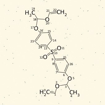 C=COC(C)Oc1ccc(S(=O)(=O)c2ccc(OC(C)OC=C)cc2)cc1